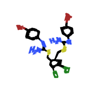 N/C(=N\c1ccc(Br)cc1)SCc1cc(Cl)c(Cl)cc1CS/C(N)=N/c1ccc(Br)cc1